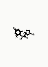 [2H]N1CC[C@]2(C1)Oc1cc(F)cc(F)c1N(C)C2=O